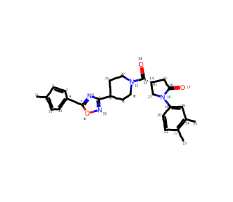 Cc1ccc(-c2nc(C3CCN(C(=O)[C@@H]4CC(=O)N(c5ccc(C)c(C)c5)C4)CC3)no2)cc1